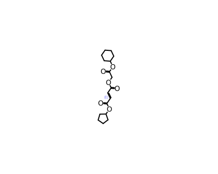 O=C(/C=C/C(=O)OC1CCCC1)OCC(=O)OC1CCCCC1